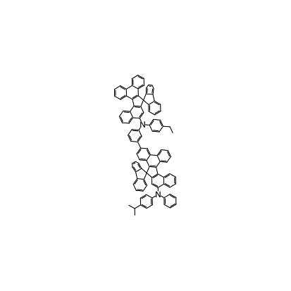 CCc1ccc(N(c2cccc(-c3ccc4c5c(c6ccccc6c4c3)-c3c(cc(N(c4ccccc4)c4ccc(C(C)C)cc4)c4ccccc34)C53c4ccccc4-c4ccccc43)c2)c2cc3c(c4ccccc24)-c2c(c4ccccc4c4ccccc24)C32c3ccccc3-c3ccccc32)cc1